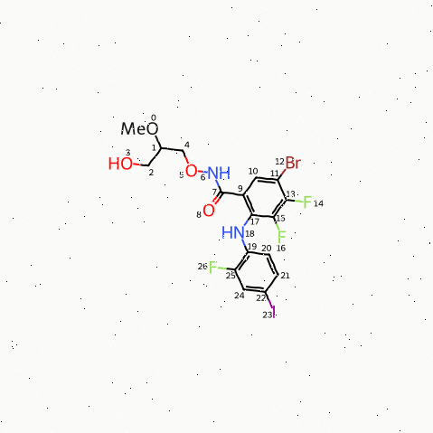 COC(CO)CONC(=O)c1cc(Br)c(F)c(F)c1Nc1ccc(I)cc1F